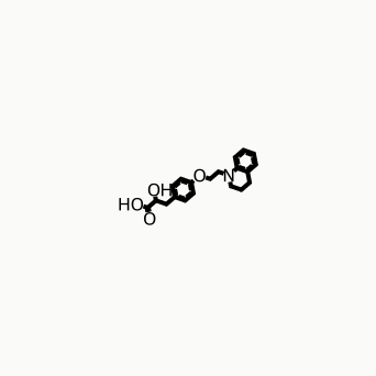 O=C(O)C(O)Cc1ccc(OCCN2CCCc3ccccc32)cc1